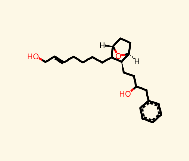 OCC=CCCCCC1[C@@H]2CC[C@H](O2)[C@H]1CCC(O)Cc1ccccc1